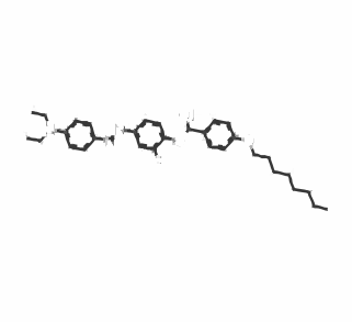 CCCCCCCCOc1ccc(C(O)Oc2ccc(/N=N/c3ccc(N(CC)CC)cc3)cc2F)cc1